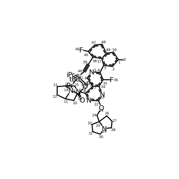 Cc1cc(-c2ncc3c(N4CC5CCC(C4)N5C(=O)OC(C)(C)C)nc(OCC45CCCN4CCC5)nc3c2F)c2c(C#C[Si](C(C)C)(C(C)C)C(C)C)c(F)ccc2c1